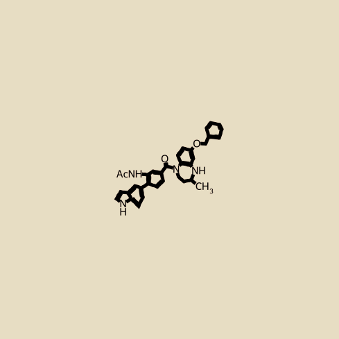 CC(=O)Nc1cc(C(=O)N2CCC(C)Nc3cc(OCc4ccccc4)ccc32)ccc1-c1ccc2[nH]ccc2c1